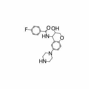 O=C(NC1c2cc(N3CCNCC3)ccc2OCC1O)c1ccc(F)cc1